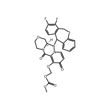 COC(=O)OCOc1c2n(ccc1=O)N(C1c3ccccc3SCc3c1ccc(F)c3F)[C@@H]1COCCN1C2=O